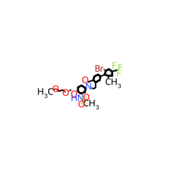 COCCOCOc1ccc(N2CCc3cc(-c4c(C)cc(C(F)(F)F)cc4Br)ccc3C2=O)cc1NS(C)(=O)=O